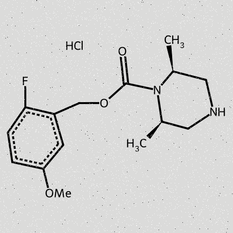 COc1ccc(F)c(COC(=O)N2[C@H](C)CNC[C@@H]2C)c1.Cl